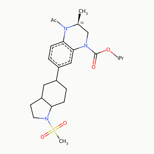 CC(=O)N1c2ccc(C3CCC4C(CCN4S(C)(=O)=O)C3)cc2N(C(=O)OC(C)C)C[C@@H]1C